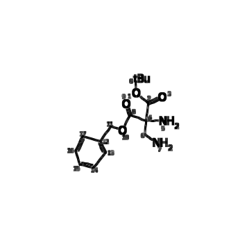 CC(C)(C)OC(=O)C(N)(CN)C(=O)OCc1ccccc1